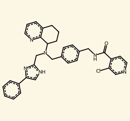 O=C(NCc1ccc(CN(Cc2nc(-c3ccccc3)c[nH]2)C2CCCc3cccnc32)cc1)c1ccncc1Cl